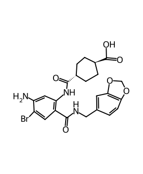 Nc1cc(NC(=O)[C@H]2CC[C@H](C(=O)O)CC2)c(C(=O)NCc2ccc3c(c2)OCO3)cc1Br